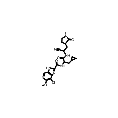 COc1ncc2[nH]c(C(=O)NC(CC3CC3)C(=O)NC(C#N)CC3CCNC3=O)nc2c1Cl